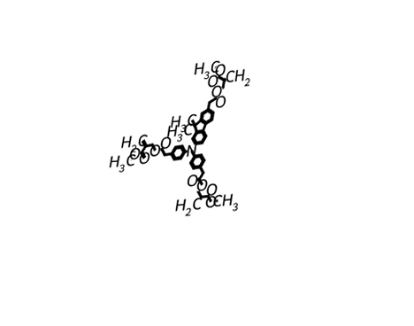 C=C(COC(=O)Cc1ccc(N(c2ccc(CC(=O)OCC(=C)C(=O)OC)cc2)c2ccc3c(c2)C(C)(C)c2cc(CC(=O)OCC(=C)C(=O)OC)ccc2-3)cc1)C(=O)OC